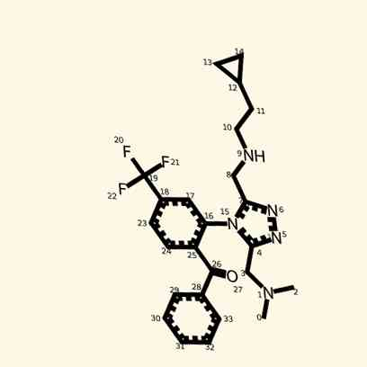 CN(C)Cc1nnc(CNCCC2CC2)n1-c1cc(C(F)(F)F)ccc1C(=O)c1ccccc1